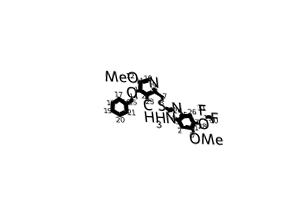 COc1cc2[nH]c(SCc3ncc(OC)c(OCc4ccccc4)c3C)nc2cc1OC(F)F